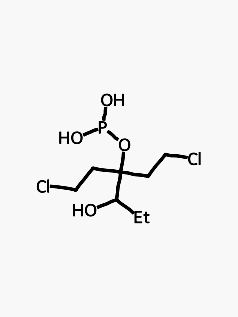 CCC(O)C(CCCl)(CCCl)OP(O)O